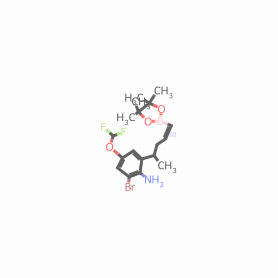 CC(C/C=C\B1OC(C)(C)C(C)(C)O1)c1cc(OC(F)F)cc(Br)c1N